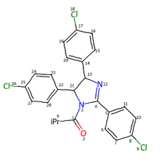 CC(C)C(=O)N1C(c2ccc(Cl)cc2)=NC(c2ccc(Cl)cc2)C1c1ccc(Cl)cc1